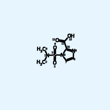 CN(C)S(=O)(=O)n1ccnc1C(=O)O